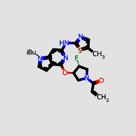 C=CC(=O)N1C[C@@H](F)[C@H](Oc2nc(Nc3ncc(C)s3)cc3c2ccn3[C@@H](C)CC)C1